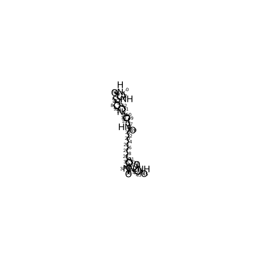 C[C@@H]1CNc2c(sc3ccc4nc(-c5ccc(CNC(=O)CCCCCCCCCc6ccc7c(c6)n(C)c(=O)n7C6CCC(=O)NC6=O)cc5)ccc4c23)C(=O)N1